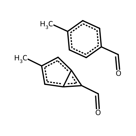 Cc1cc2c(C=O)c-2c1.Cc1ccc(C=O)cc1